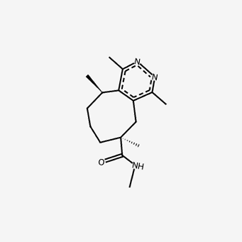 CNC(=O)[C@@]1(C)CCC[C@@H](C)c2c(C)nnc(C)c2C1